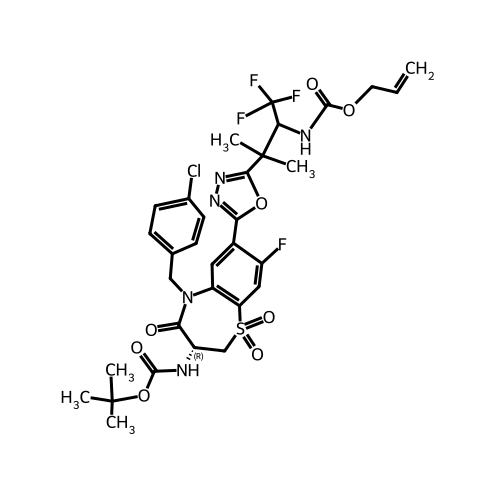 C=CCOC(=O)NC(C(F)(F)F)C(C)(C)c1nnc(-c2cc3c(cc2F)S(=O)(=O)C[C@H](NC(=O)OC(C)(C)C)C(=O)N3Cc2ccc(Cl)cc2)o1